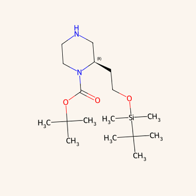 CC(C)(C)OC(=O)N1CCNC[C@H]1CCO[Si](C)(C)C(C)(C)C